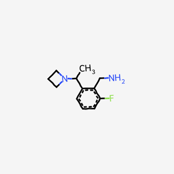 CC(c1cccc(F)c1CN)N1CCC1